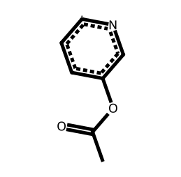 CC(=O)Oc1cc[c]nc1